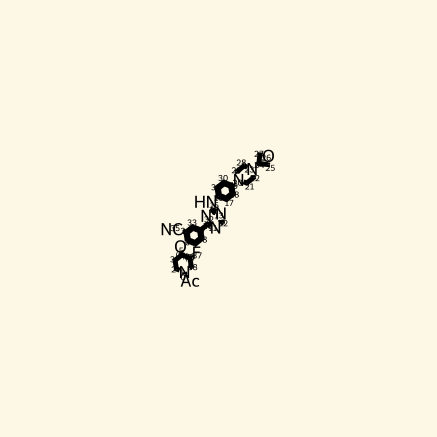 CC(=O)N1CC[C@H](Oc2ccc(-c3ncnc(Nc4ccc(N5CCN(C6COC6)CC5)cc4)n3)cc2C#N)[C@@H](F)C1